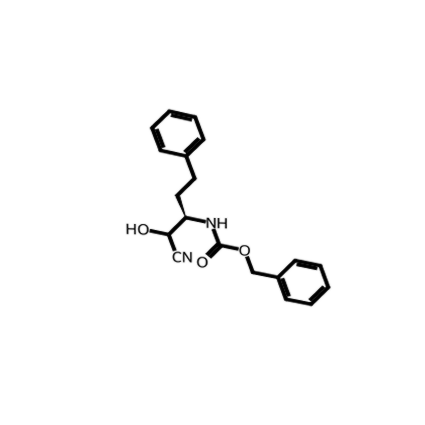 N#CC(O)[C@@H](CCc1ccccc1)NC(=O)OCc1ccccc1